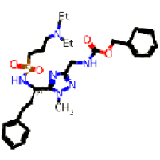 CCN(CC)CCCS(=O)(=O)N[C@H](CCc1ccccc1)c1nc(CNC(=O)OCc2ccccc2)nn1C